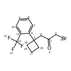 O=C(CBr)CC1(c2ccccc2C(F)(F)F)CCC1